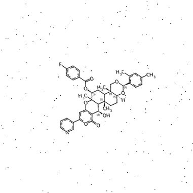 Cc1ccc([C@@H]2OC[C@@]3(C)C4C[C@H](OC(=O)c5ccc(F)cc5)C5(C)Oc6cc(-c7cccnc7)oc(=O)c6[C@H](O)C5[C@@]4(C)CC[C@@H]3O2)c(C)c1